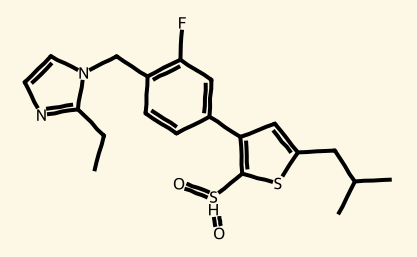 CCc1nccn1Cc1ccc(-c2cc(CC(C)C)sc2[SH](=O)=O)cc1F